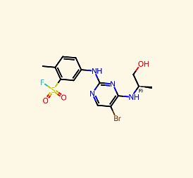 Cc1ccc(Nc2ncc(Br)c(N[C@H](C)CO)n2)cc1S(=O)(=O)F